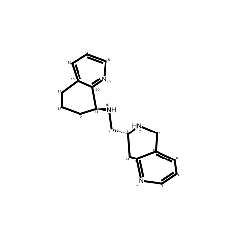 c1cnc2c(c1)CN[C@@H](CN[C@H]1CCCc3cccnc31)C2